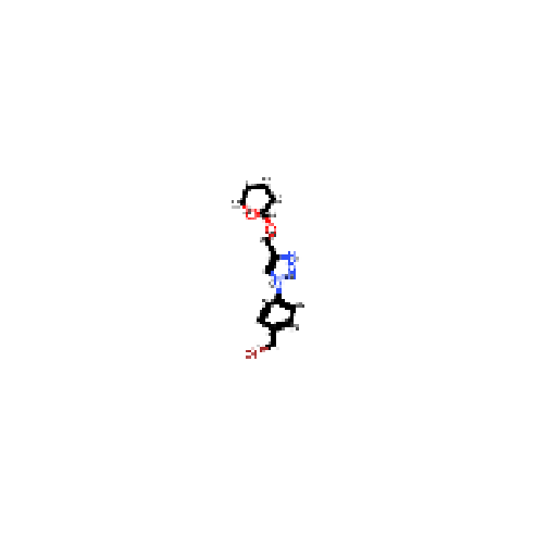 BrCc1ccc(-n2cc(COC3CCCCO3)nn2)cc1